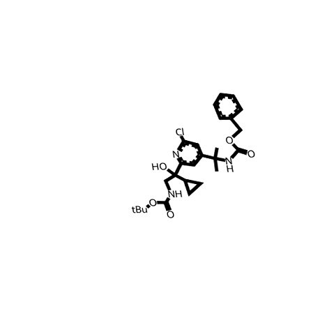 CC(C)(C)OC(=O)NCC(O)(c1cc(C(C)(C)NC(=O)OCc2ccccc2)cc(Cl)n1)C1CC1